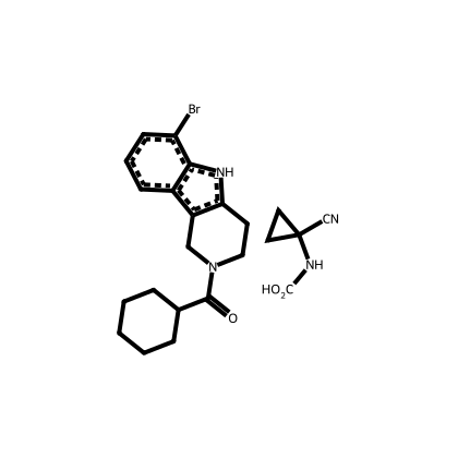 N#CC1(NC(=O)O)CC1.O=C(C1CCCCC1)N1CCc2[nH]c3c(Br)cccc3c2C1